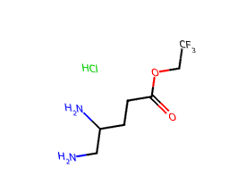 Cl.NCC(N)CCC(=O)OCC(F)(F)F